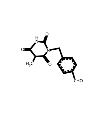 CC1C(=O)NC(=O)N(Cc2ccc(C=O)cc2)C1=O